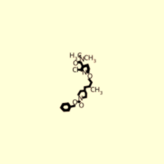 C[C@@H](CCOc1ccc(C(=O)N(C)C)c(Cl)n1)CC1CCN(C(=O)OCc2ccccc2)CC1